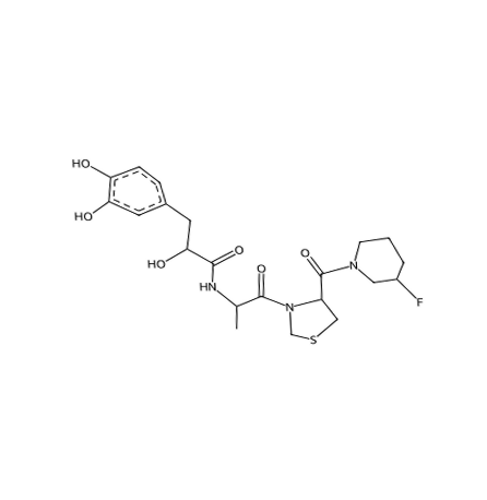 CC(NC(=O)C(O)Cc1ccc(O)c(O)c1)C(=O)N1CSCC1C(=O)N1CCCC(F)C1